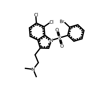 CN(C)CCc1cn(S(=O)(=O)c2ccccc2Br)c2c(Cl)c(Cl)ccc12